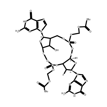 CC(C)(C)C(=O)OCOP1(=O)OCC2C(O)C(COP(=O)(OCOC(=O)C(C)(C)C)OC3C(F)[C@H](n4cnc5c(=O)[nH]c(N)nc54)O[C@@H]3CO1)O[C@H]2n1cnc2c(=O)[nH]c(N)nc21